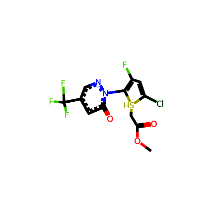 COC(=O)C[SH]1C(Cl)=CC(F)=C1n1ncc(C(F)(F)F)cc1=O